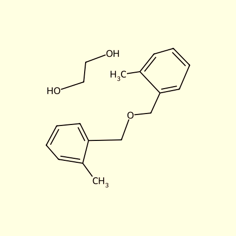 Cc1ccccc1COCc1ccccc1C.OCCO